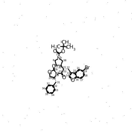 CC(C)(C)OC(=O)N1CC[C@H]([C@H](Cc2coc3ccc(Br)cc23)C(=O)N2C(=O)OC[C@H]2Cc2ccccc2)C1